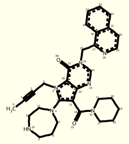 CC#CCn1c(N2CCCNCC2)c(C(=O)N2CCCCC2)c2ncn(Cc3nccc4ccccc34)c(=O)c21